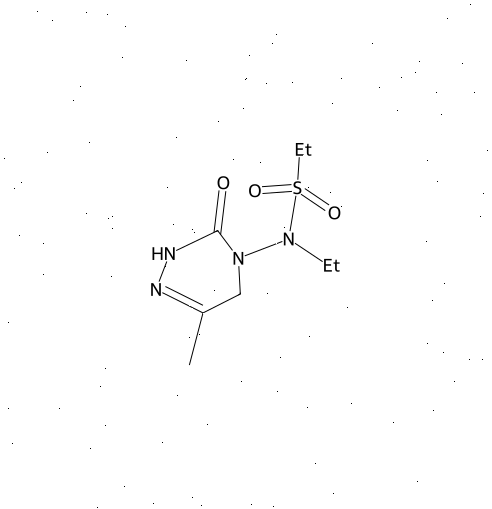 CCN(N1CC(C)=NNC1=O)S(=O)(=O)CC